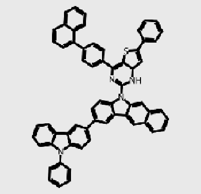 C1=C(c2ccccc2)SC2=C(c3ccc(-c4cccc5ccccc45)cc3)N=C(n3c4ccc(-c5ccc6c(c5)c5ccccc5n6-c5ccccc5)cc4c4cc5ccccc5cc43)NC12